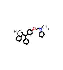 CCC(=C(c1ccccc1)c1ccc(OCCN(C)c2ccccc2)cc1)c1ccccc1